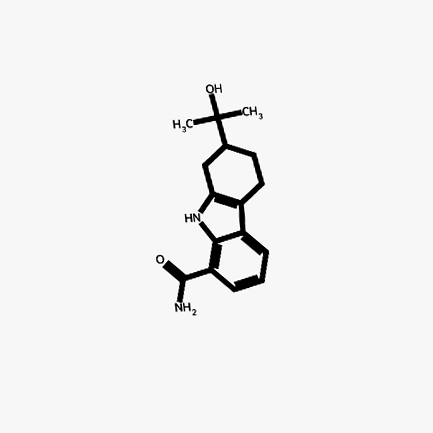 CC(C)(O)C1CCc2c([nH]c3c(C(N)=O)cccc23)C1